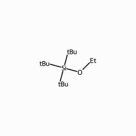 CCO[Si](C(C)(C)C)(C(C)(C)C)C(C)(C)C